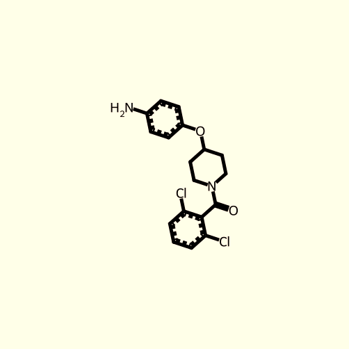 Nc1ccc(OC2CCN(C(=O)c3c(Cl)cccc3Cl)CC2)cc1